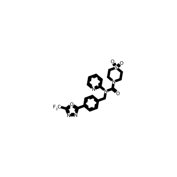 O=C(N1CCS(=O)(=O)CC1)N(Cc1ccc(-c2nnc(C(F)(F)F)o2)cc1)c1ccccn1